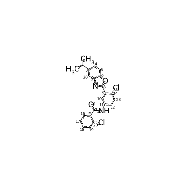 CC(C)c1ccc2oc(-c3cc(NC(=O)c4ccccc4Cl)ccc3Cl)nc2c1